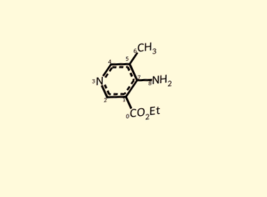 CCOC(=O)c1cncc(C)c1N